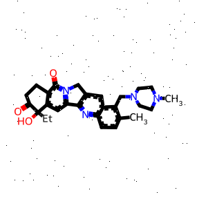 CCC1(O)C(=O)CCc2c1cc1n(c2=O)Cc2cc3c(CN4CCN(C)CC4)c(C)ccc3nc2-1